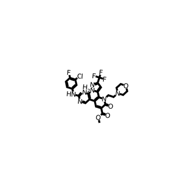 C=C(/N=C\c1c(N)n2nc(C(F)(F)F)cc2c2c1cc(C(=O)OC)c(=O)n2CCN1CCOCC1)Nc1ccc(F)c(Cl)c1